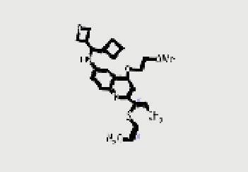 C/C=C\S/C(=C\C)c1cc(OCCOC)c2cc(NC(=C3CCC3)C3COC3)ccc2n1